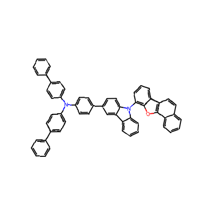 c1ccc(-c2ccc(N(c3ccc(-c4ccccc4)cc3)c3ccc(-c4ccc5c(c4)c4ccccc4n5-c4cccc5c4oc4c6ccccc6ccc54)cc3)cc2)cc1